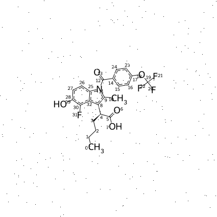 CCCC[C@H](C(=O)O)c1c(C)n(C(=O)c2ccc(OC(F)(F)F)cc2)c2ccc(O)c(F)c12